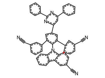 N#Cc1cccc(-c2cc(-c3cc(-c4ccccc4)nc(-c4ccccc4)n3)cc(-c3cccc(C#N)c3)c2-n2c3ccccc3c3cc(C#N)ccc32)c1